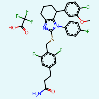 COc1cc(C2CCCc3nc(SCc4c(F)cc(CCC(N)=O)cc4F)n(-c4ccc(F)cc4)c32)ccc1Cl.O=C(O)C(F)(F)F